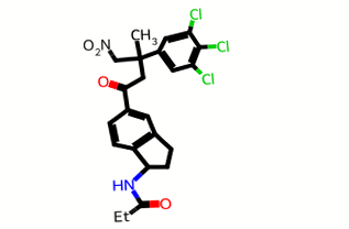 CCC(=O)NC1CCc2cc(C(=O)CC(C)(C[N+](=O)[O-])c3cc(Cl)c(Cl)c(Cl)c3)ccc21